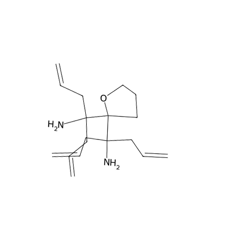 C=CCC(N)(CC=C)C1(C(N)(CC=C)CC=C)CCCO1